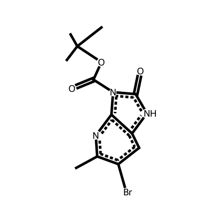 Cc1nc2c(cc1Br)[nH]c(=O)n2C(=O)OC(C)(C)C